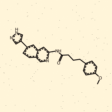 COc1ccc(CCCC(=O)Nc2cc3cc(-c4cn[nH]c4)ccc3cn2)cc1